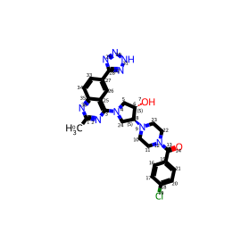 Cc1nc(N2C[C@H](O)[C@@H](N3CCN(C(=O)c4ccc(Cl)cc4)CC3)C2)c2cc(-c3nn[nH]n3)ccc2n1